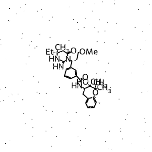 CC[C@]1(C)CC(=O)N([C@H](CCOC)c2cccc(C(=O)NC3Cc4ccccc4OC(C)(C)C3(C)O)c2)C(=N)N1